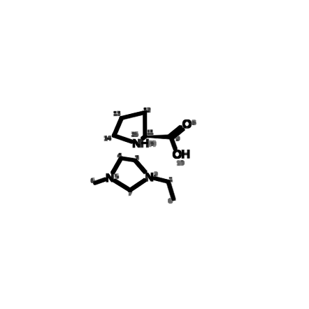 CCN1CCN(C)C1.O=C(O)[C@@H]1CCCN1